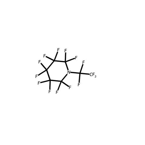 FC(F)(F)C(F)(F)N1C(F)(F)C(F)(F)C(F)(F)C(F)(F)C1(F)F